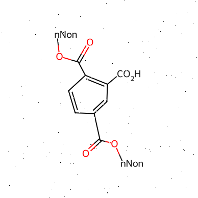 CCCCCCCCCOC(=O)c1ccc(C(=O)OCCCCCCCCC)c(C(=O)O)c1